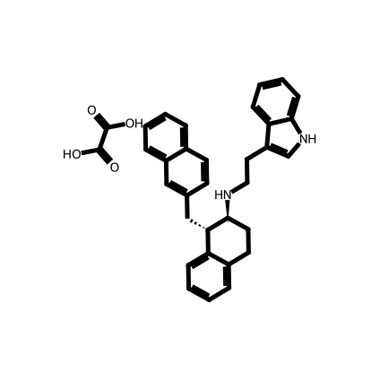 O=C(O)C(=O)O.c1ccc2c(c1)CC[C@H](NCCc1c[nH]c3ccccc13)[C@H]2Cc1ccc2ccccc2c1